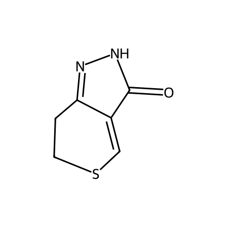 O=C1NN=C2CCSC=C12